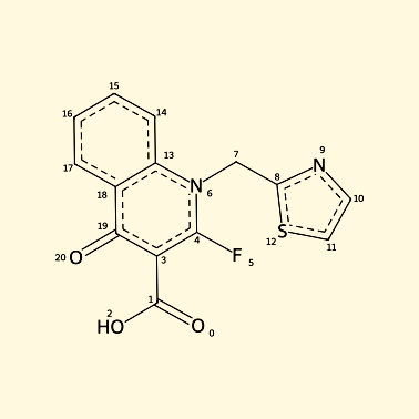 O=C(O)c1c(F)n(Cc2nccs2)c2ccccc2c1=O